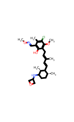 CO/N=C/c1c(C)c(Cl)c(OC)c(C/C=C(C)/C=C/C2[C@@H](C)C(NC3COC3)CC[C@H]2C)c1O